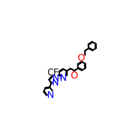 O=C(Cc1ccc(-n2nc(-c3cccnc3)cc2C(F)(F)F)nc1)c1cccc(OCCc2ccccc2)c1